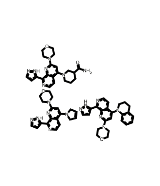 C1=CCN(c2cc(N3CCOCC3)nc3c(-c4ccn[nH]4)nccc23)C1.NC(=O)C1CCCN(c2cc(N3CCOCC3)nc3c(-c4ccn[nH]4)nccc23)C1.c1ccc2c(c1)CCCN2c1cc(N2CCOCC2)nc2c(-c3ccn[nH]3)nccc12